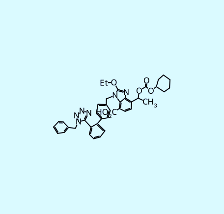 CCOc1nc2c(C(C)OC(=O)OC3CCCCC3)ccc(C(=O)O)c2n1Cc1ccc(-c2ccccc2-c2nnnn2Cc2ccccc2)cc1